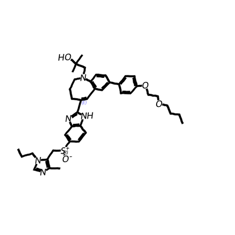 CCCCOCCOc1ccc(-c2ccc3c(c2)/C=C(/c2nc4cc([S@@+]([O-])Cc5c(C)ncn5CCC)ccc4[nH]2)CCCN3CC(C)(C)O)cc1